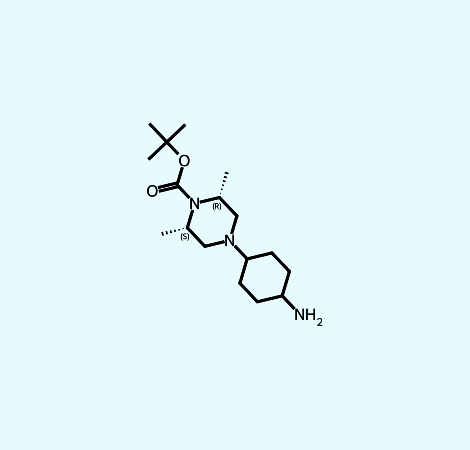 C[C@@H]1CN(C2CCC(N)CC2)C[C@H](C)N1C(=O)OC(C)(C)C